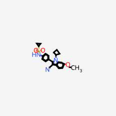 CCOc1ccc2c(C#N)c(-c3ccc(NS(=O)(=O)C4CC4)cc3)n(C3CCC3)c2c1